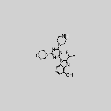 Oc1cccc2c1nc(C(F)F)n2-c1nc(N2CCNCC2)nc(N2CCOCC2)n1